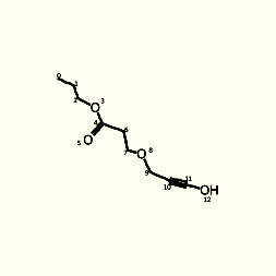 CCCOC(=O)CCOCC#CO